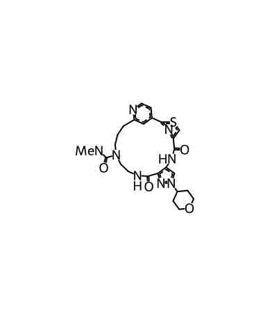 CNC(=O)N1CCCc2cc(ccn2)-c2nc(cs2)C(=O)Nc2cn(C3CCOCC3)nc2C(=O)NCC1